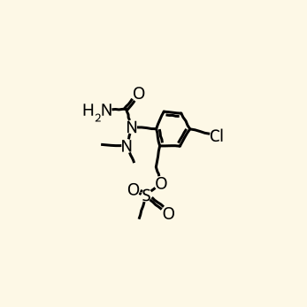 CN(C)N(C(N)=O)c1ccc(Cl)cc1COS(C)(=O)=O